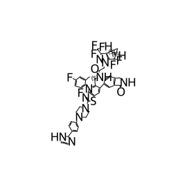 O=C(Cn1nc(C(F)(F)F)c2c1C(F)(F)[C@@H]1C[C@H]21)N[C@@H](Cc1cc(F)cc(F)c1)c1nc2nc(N3CCN(c4ccc(-c5ncc[nH]5)cc4)CC3)sc2cc1-c1ccc2c(c1)C(=O)NC2